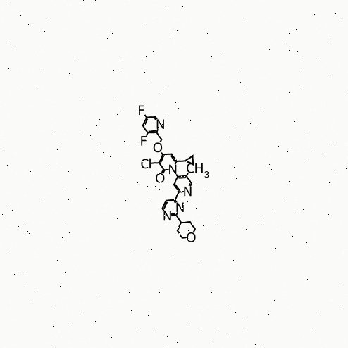 Cc1cnc(-c2ccnc(C3CCOCC3)n2)cc1-n1c(C2CC2)cc(OCc2ncc(F)cc2F)c(Cl)c1=O